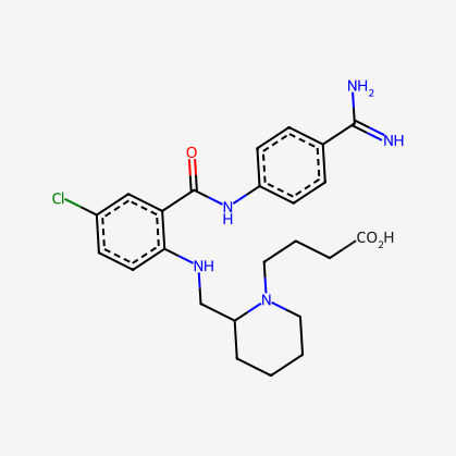 N=C(N)c1ccc(NC(=O)c2cc(Cl)ccc2NCC2CCCCN2CCCC(=O)O)cc1